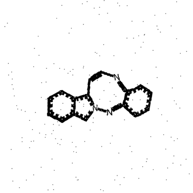 C1=C\c2c3ccccc3cn2/N=c2/cccc/c2=N/1